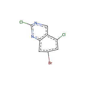 Clc1ncc2c(Cl)cc(Br)cc2n1